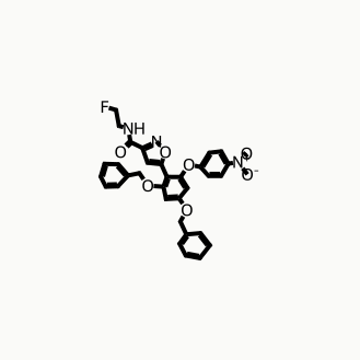 O=C(NCCF)c1cc(-c2c(OCc3ccccc3)cc(OCc3ccccc3)cc2Oc2ccc([N+](=O)[O-])cc2)on1